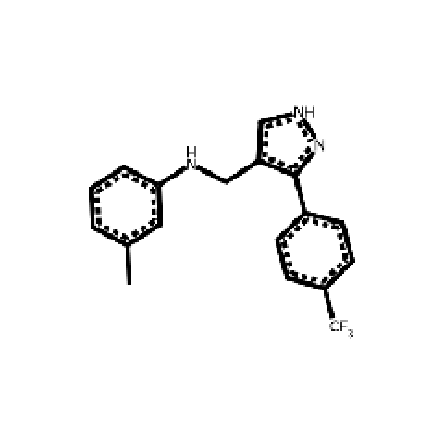 Cc1cccc(NCc2c[nH]nc2-c2ccc(C(F)(F)F)cc2)c1